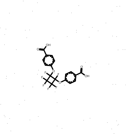 O=C(O)c1ccc(OC2(F)C(F)(F)C(F)(F)C2(F)Oc2ccc(C(=O)O)cc2)cc1